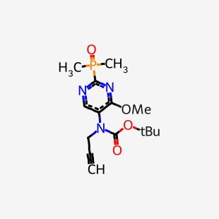 C#CCN(C(=O)OC(C)(C)C)c1cnc(P(C)(C)=O)nc1OC